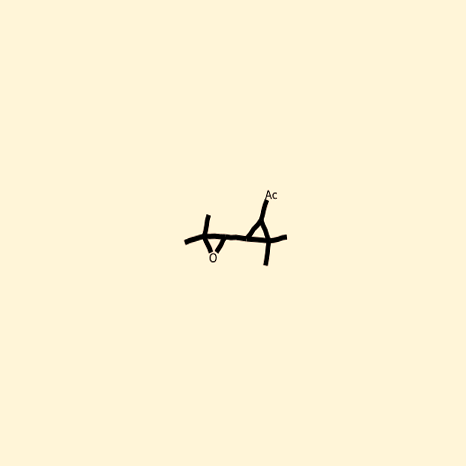 CC(=O)C1C(C2OC2(C)C)C1(C)C